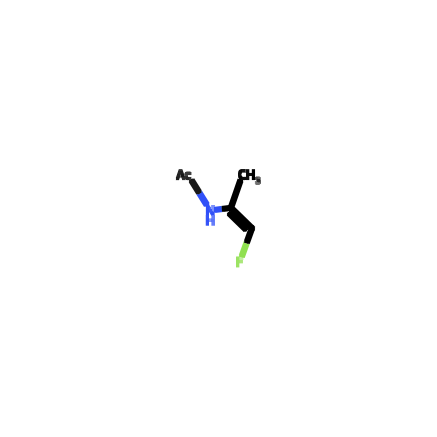 CC(=O)N/C(C)=C\F